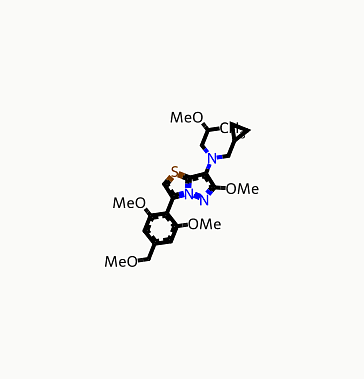 COCc1cc(OC)c(-c2csc3c(N(CC4CC4)CC(C)OC)c(OC)nn23)c(OC)c1